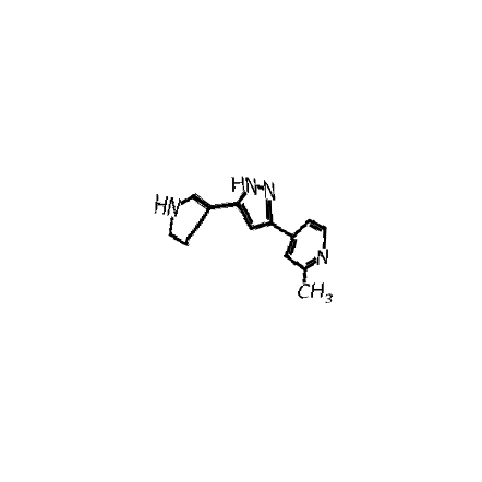 Cc1cc(-c2cc(C3CCNC3)[nH]n2)ccn1